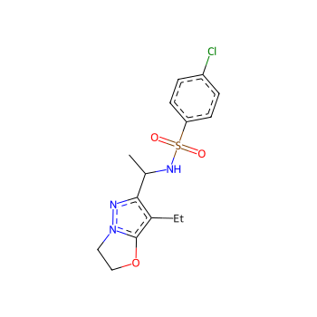 CCc1c(C(C)NS(=O)(=O)c2ccc(Cl)cc2)nn2c1OCC2